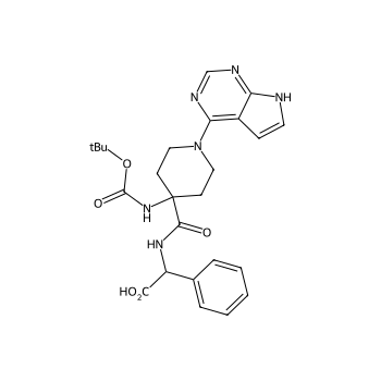 CC(C)(C)OC(=O)NC1(C(=O)NC(C(=O)O)c2ccccc2)CCN(c2ncnc3[nH]ccc23)CC1